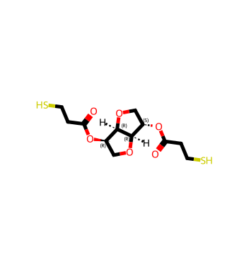 O=C(CCS)O[C@H]1CO[C@H]2[C@@H]1OC[C@H]2OC(=O)CCS